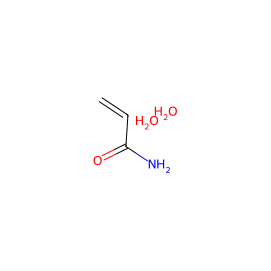 C=CC(N)=O.O.O